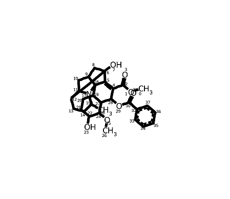 COC(=O)C1=C2C3(O)CC4CC5C3CCC(C)N5C24C2CCC(O)C(OC)C2C1OC(=O)c1ccccc1